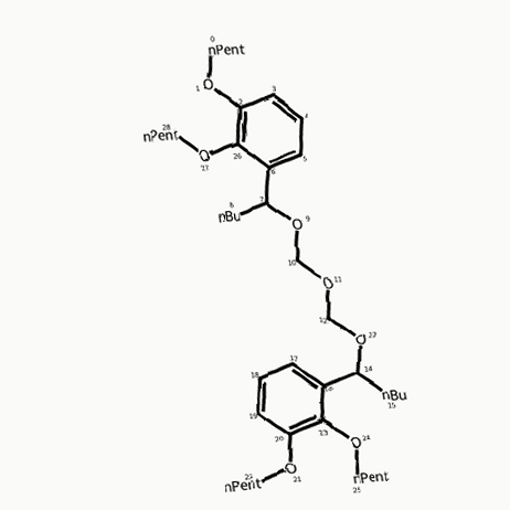 CCCCCOc1cccc(C(CCCC)OCOCOC(CCCC)c2cccc(OCCCCC)c2OCCCCC)c1OCCCCC